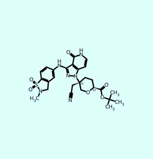 CN1Cc2cc(Nc3nn([C@]4(CC#N)CC[C@@H](C(=O)OC(C)(C)C)OC4)c4cc[nH]c(=O)c34)ccc2S1(=O)=O